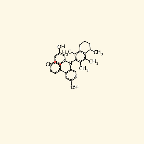 Cc1c(C)c(N(c2cc(O)cc(Cl)c2)c2ccc(C(C)(C)C)cc2-c2ccccc2)c(C)c2c1C(C)CCC2